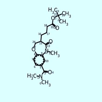 CN(C)C(=O)c1ccc2c(c1)N(C)C(=O)C(CCCC(=O)OC(C)(C)C)CO2